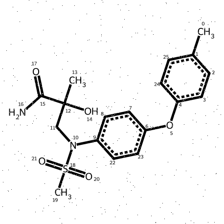 Cc1ccc(Oc2ccc(N(CC(C)(O)C(N)=O)S(C)(=O)=O)cc2)cc1